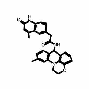 Cc1ccc(C(NC(=O)Cc2ccc3[nH]c(=O)cc(C)c3c2)c2ccccc2)c(N2CCOCC2)c1